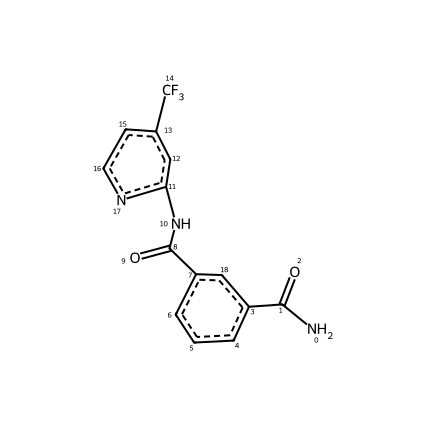 NC(=O)c1cccc(C(=O)Nc2cc(C(F)(F)F)ccn2)c1